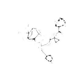 CC1(C)C2C[C@H]3OB([C@H](Cc4ccc(Cl)cc4)NC(=O)C4(NC(=O)c5cnccn5)CC4)O[C@@]3(C)[C@H]1C2